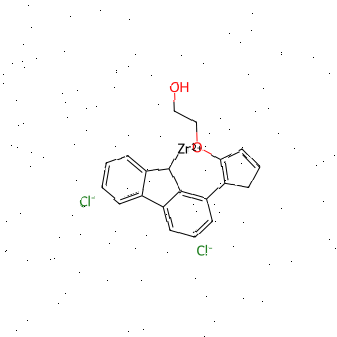 OCCOC1=C(c2cccc3c2[CH]([Zr+2])c2ccccc2-3)CC=C1.[Cl-].[Cl-]